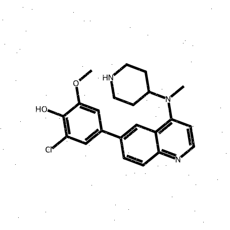 COc1cc(-c2ccc3nc[c]c(N(C)C4CCNCC4)c3c2)cc(Cl)c1O